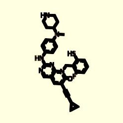 CN(c1ccc(Nc2ncc3cc(C#CC4CC4)c(=O)n(Cc4c(F)cccc4S)c3n2)cc1)C1CCNCC1